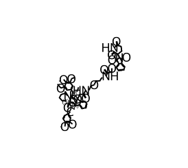 CC[C@H](C(=O)N1CCCC[C@H]1C(=O)O[C@H](CCc1ccc(OC)c(OC)c1)c1ccccc1OCC(=O)NCCOCCCNC(=O)COc1cccc2c1C(=O)N(C1CCC(=O)NC1=O)C2=O)c1cc(OC)c(OC)c(OC)c1